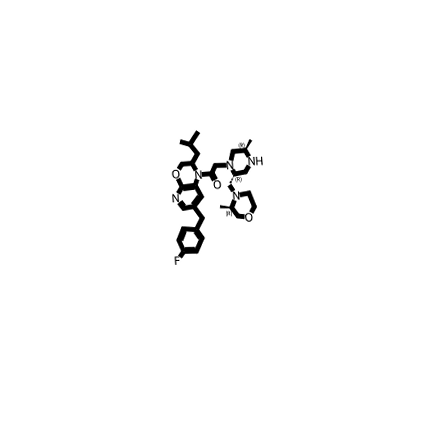 CC(C)CC1COc2ncc(Cc3ccc(F)cc3)cc2N1C(=O)CN1C[C@@H](C)NC[C@@H]1CN1CCOC[C@H]1C